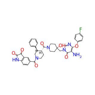 Nc1c(Oc2ccc(F)cc2)ncn(CC2(O)CCN(C(=O)[C@@H]3CCN(C(=O)c4ccc5c(c4)C(=O)C(=O)N5)C[C@H]3c3ccccc3)CC2)c1=O